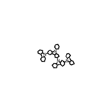 c1ccc(-n2c3ccc(-n4c5ccccc5c5ccccc54)cc3c3cc(-n4c5ccccc5c5ccc(-n6c7ccccc7c7ccccc76)cc54)ccc32)cc1